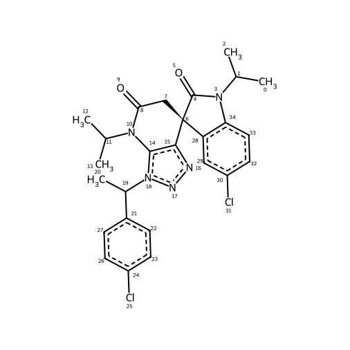 CC(C)N1C(=O)[C@]2(CC(=O)N(C(C)C)c3c2nnn3C(C)c2ccc(Cl)cc2)c2cc(Cl)ccc21